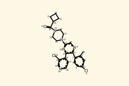 Cc1cc(Cl)ccc1-c1ncc(N2CCN(C(=O)C3CCC3)CC2)nc1-c1ccncc1Cl